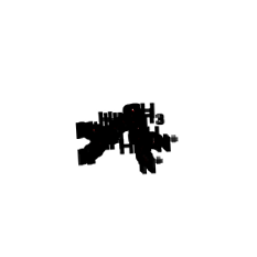 COC(=O)[C@H](CCCCNC(=O)COCCOCCOCCNC(=O)C(CCCCNC(=O)COCCOCCOCCN=[N+]=[N-])NC(=O)COCCOCCOCCN=[N+]=[N-])NC(=O)COCCOCCOCCNC(=O)C(CCCCNC(=O)COCCOCCOCCN=[N+]=[N-])NC(=O)COCCOCCOCCN=[N+]=[N-]